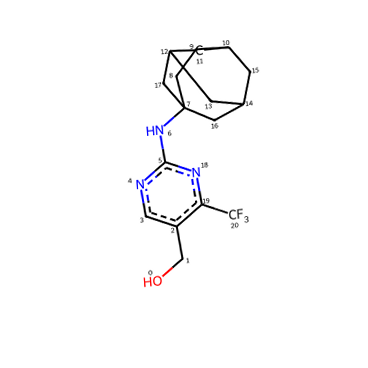 OCc1cnc(NC23CCC4CC(CC(C4)C2)C3)nc1C(F)(F)F